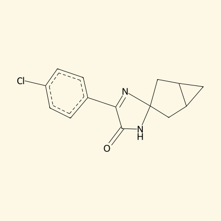 O=C1NC2(CC3CC3C2)N=C1c1ccc(Cl)cc1